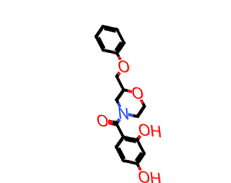 O=C(c1ccc(O)cc1O)N1CCOC(COc2ccccc2)C1